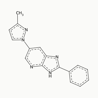 Cc1ccn(-c2cnc3[nH]c(-c4ccccc4)nc3c2)n1